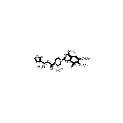 COc1cc2c(N)nc(N3CCN(C(=O)C[C@@H](N)c4ccoc4)CC3)nc2c(F)c1OC.Cl